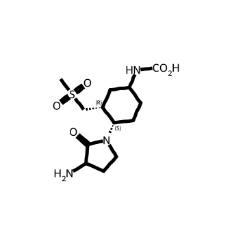 CS(=O)(=O)C[C@@H]1CC(NC(=O)O)CC[C@@H]1N1CCC(N)C1=O